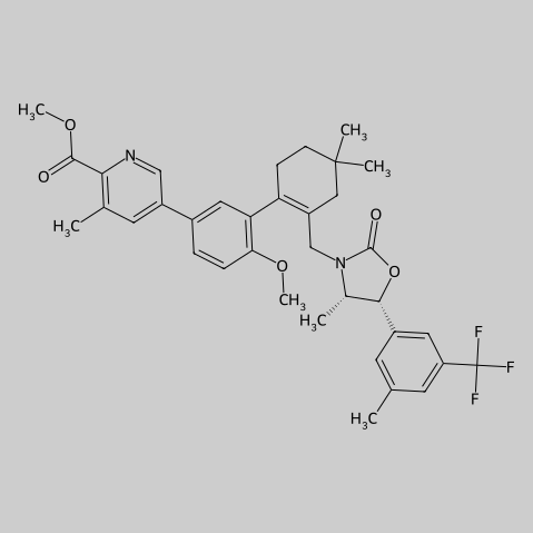 COC(=O)c1ncc(-c2ccc(OC)c(C3=C(CN4C(=O)O[C@H](c5cc(C)cc(C(F)(F)F)c5)[C@@H]4C)CC(C)(C)CC3)c2)cc1C